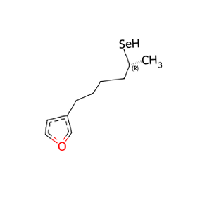 C[C@@H]([SeH])CCCCc1ccoc1